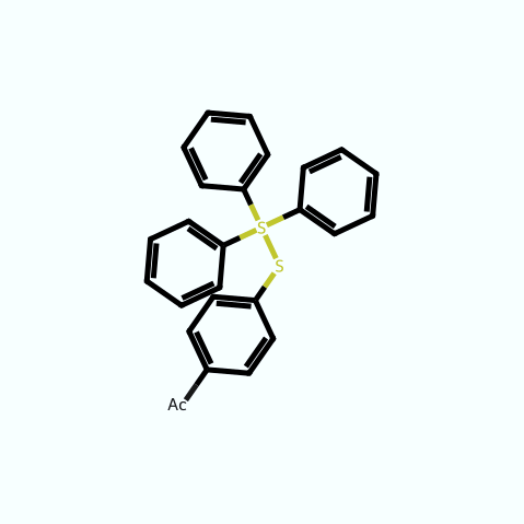 CC(=O)c1ccc(SS(c2ccccc2)(c2ccccc2)c2ccccc2)cc1